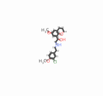 COc1cc2c(c(C(O)CNCCc3ccc(OC)c(Cl)c3)c1)OCCC2